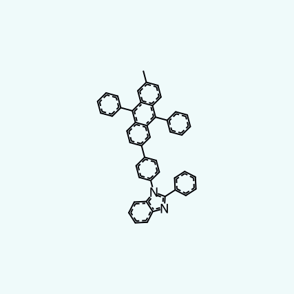 Cc1ccc2c(-c3ccccc3)c3cc(-c4ccc(-n5c(-c6ccccc6)nc6ccccc65)cc4)ccc3c(-c3ccccc3)c2c1